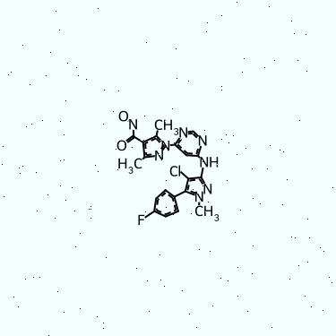 Cc1nn(-c2cc(Nc3nn(C)c(-c4ccc(F)cc4)c3Cl)ncn2)c(C)c1C(=O)N=O